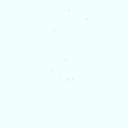 CCOC(=O)c1nc(-c2ccnc(Nc3cc(C)cc(C)c3)n2)sc1SC